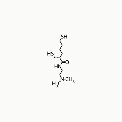 CN(C)CCNC(=O)C(CS)CCCCS